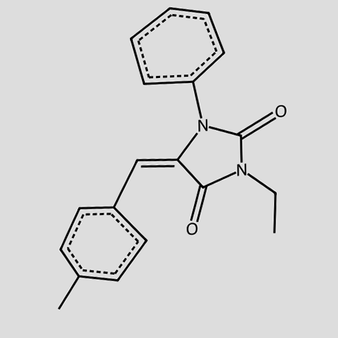 CCN1C(=O)/C(=C\c2ccc(C)cc2)N(c2ccccc2)C1=O